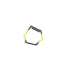 [C]1[C]SC=CS1